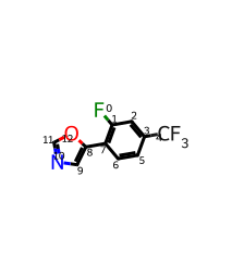 Fc1cc(C(F)(F)F)ccc1-c1cnco1